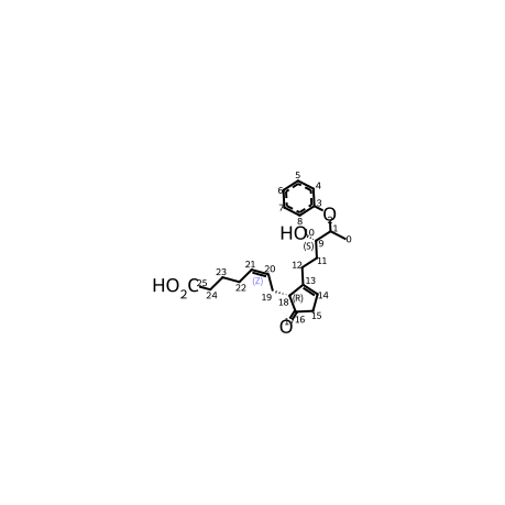 CC(Oc1ccccc1)[C@@H](O)CCC1=CCC(=O)[C@@H]1C/C=C\CCCC(=O)O